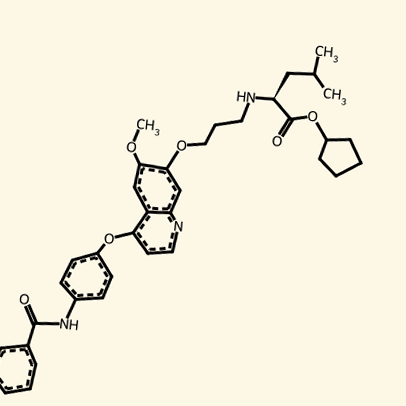 COc1cc2c(Oc3ccc(NC(=O)c4ccccc4)cc3)ccnc2cc1OCCCN[C@@H](CC(C)C)C(=O)OC1CCCC1